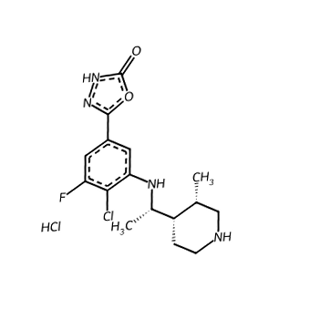 C[C@@H]1CNCC[C@@H]1[C@H](C)Nc1cc(-c2n[nH]c(=O)o2)cc(F)c1Cl.Cl